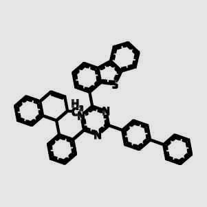 CC1C=Cc2ccccc2C1c1ccccc1-c1nc(-c2ccc(-c3ccccc3)cc2)nc(-c2cccc3c2sc2ccccc23)n1